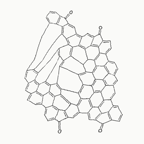 O=c1c2cc3c4cc5c(=O)c6cccc7c8cc9cc%10ccc%11c%12ccc%13c(=O)c%14cc%15c%16cc%17c(=O)c%18cccc%19c%20cc%21cc%22ccc%23c%24ccc1c1c2c2c3c3c%25c%26c%27c%28c%29c%30c(c(c%241)C2C%25%29)c%23c%22c1c%21c2c%20c(c%17c%18%19)c%16c%16c%17c%15c%15c%14c%13c%12c%12c%13c%11c%10c%10c9c9c8c(c5c67)c4c3c9c%26c%10c%13c%27c(c%17c%28c(c%301)c2%16)c%15%12